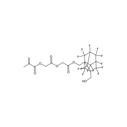 C=C(C)C(=O)OCC(=O)OCC(=O)OCC12C(F)(F)C3(F)C(F)(F)C(F)(C(F)(F)C(CO)(C3(F)F)C1(F)F)C2(F)F